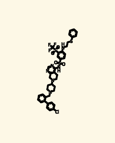 O=S(=O)(Nc1ncnc2c1CCN(C1CCN(Cc3ccccc3-c3ccc(Cl)cc3)CC1)C2)c1ccc(NCCSc2ccccc2)c(S(=O)(=O)C(F)(F)F)c1